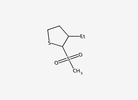 CCC1CCSC1S(C)(=O)=O